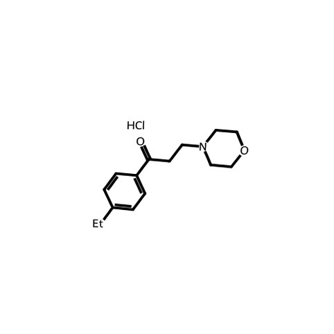 CCc1ccc(C(=O)CCN2CCOCC2)cc1.Cl